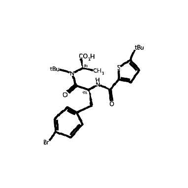 C[C@H](C(=O)O)N(C(=O)[C@H](Cc1ccc(Br)cc1)NC(=O)c1ccc(C(C)(C)C)s1)C(C)(C)C